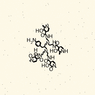 C=C1NC=CC(C(=O)NCCN(CCNC(=O)C2=C(O)C(=C)N(C)C=C2)CC(Cc2ccc(N)cc2)CN(CCNC(=O)c2ccn(C)c(=O)c2O)CCNC(=O)c2ccn(C)c(=O)c2O)=C1O